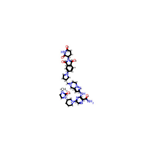 CN1CCN([C@H]2CCCN(c3cnc(C(N)=O)c(Nc4cc5n(n4)CCN(C[C@@H]4CCN(c6ccc7c(c6)C(=O)N(C6CCC(=O)NC6=O)C7=O)C4)C5)n3)C2)C1=O